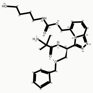 CC(C)(N)C(=O)N[C@H](COCc1ccccc1)c1nnc2cccc(COC(=O)NCCCCO)n12